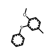 COc1ccc(C)cc1Sc1ccccc1